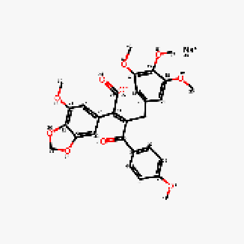 COc1ccc(C(=O)C(Cc2cc(OC)c(OC)c(OC)c2)=C(C(=O)[O-])c2cc(OC)c3c(c2)OCO3)cc1.[Na+]